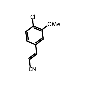 COc1cc(/C=C/C#N)ccc1Cl